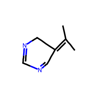 CC(C)=C1C=NC=NC1